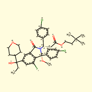 CCC(O)(c1cc(F)c2c(c1)C(=O)N([C@@H](CC(=O)OCC[Si](C)(C)C)c1ccc(Cl)cc1)[C@@]2(OC)c1ccc(Cl)cc1)C1CCOCC1